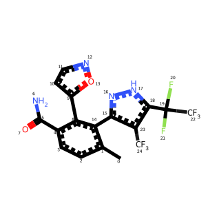 Cc1ccc(C(N)=O)c(-c2ccno2)c1-c1n[nH]c(C(F)(F)C(F)(F)F)c1C(F)(F)F